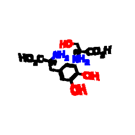 N[C@@H](CO)C(=O)O.N[C@@H](Cc1ccc(O)c(O)c1)C(=O)O